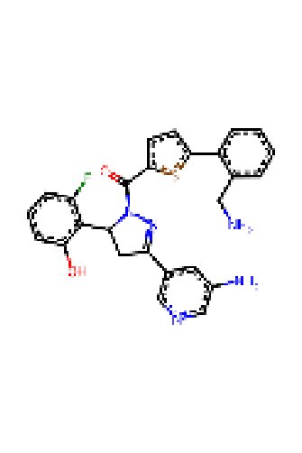 NCc1ccccc1-c1ccc(C(=O)N2N=C(c3cncc(N)c3)CC2c2c(O)cccc2F)s1